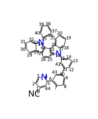 N#Cc1ccnc(-c2cccc(-c3cccc(-n4c5ccccc5c5c4ccc4c6ccccc6n(-c6ccccc6)c45)c3)c2)c1